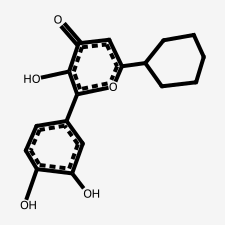 O=c1cc(C2CCCCC2)oc(-c2ccc(O)c(O)c2)c1O